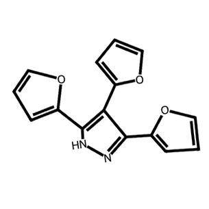 c1coc(-c2n[nH]c(-c3ccco3)c2-c2ccco2)c1